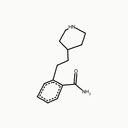 NC(=O)c1ccccc1CCC1CCNCC1